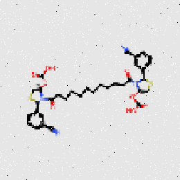 N#Cc1cccc(C2SC[C@@H](OC(=O)O)N2C(=O)CCCCCCCCCCC(=O)N2C(c3cccc(C#N)c3)SC[C@H]2OC(=O)O)c1